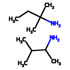 CC(C)C(C)N.CCC(C)(C)N